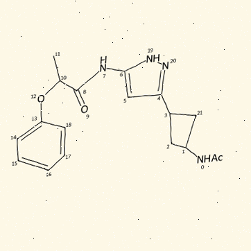 CC(=O)NC1CC(c2cc(NC(=O)C(C)Oc3ccccc3)[nH]n2)C1